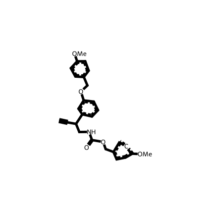 C#CC(CNC(=O)OCc1ccc(OC)cc1)c1cccc(OCc2ccc(OC)cc2)c1